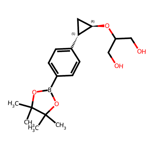 CC1(C)OB(c2ccc([C@@H]3C[C@H]3OC(CO)CO)cc2)OC1(C)C